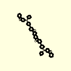 c1ccc(N(c2ccc(-c3ccc4c(c3)oc3cc5cc6c(cc5cc34)oc3cc(-c4ccc(N(c5ccccc5)c5ccc7sc8ccccc8c7c5)cc4)ccc36)cc2)c2ccc3sc4ccccc4c3c2)cc1